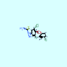 NC(=S)Nc1cc(Cl)c(Oc2ccc(Cl)cc2)c(Cl)c1